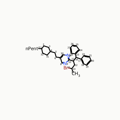 CCCCCC1CCC(CCc2cnc(C(CC(C)Br)C(c3ccccc3)c3ccccc3)nc2)CC1